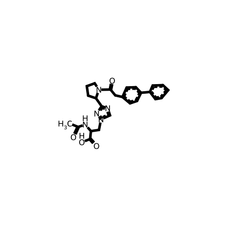 CC(=O)NC(Cn1cnc(C2CCCN2C(=O)Cc2ccc(-c3ccccc3)cc2)n1)C(=O)O